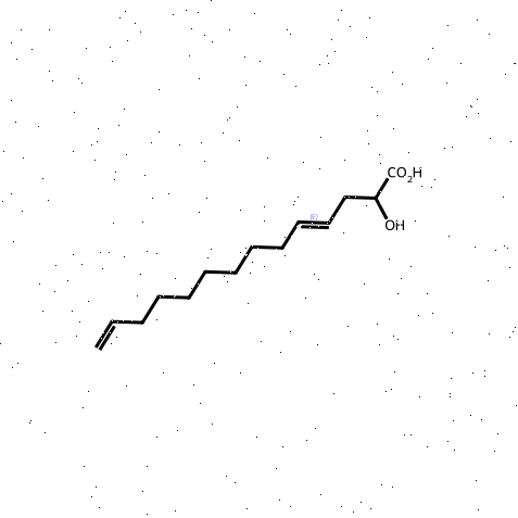 C=CCCCCCCC/C=C/CC(O)C(=O)O